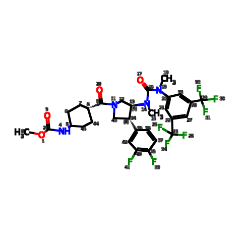 COC(=O)N[C@H]1CC[C@H](C(=O)N2C[C@@H](N(C)C(=O)N(C)c3cc(C(F)(F)F)cc(C(F)(F)F)c3)[C@H](c3ccc(F)c(F)c3)C2)CC1